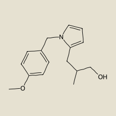 COc1ccc(Cn2cccc2CC(C)CO)cc1